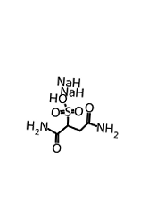 NC(=O)CC(C(N)=O)S(=O)(=O)O.[NaH].[NaH]